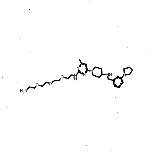 Cc1cc(N2CCC(NCc3cccc(N4CCCC4)c3)CC2)nc(NCCOCCOCCOCCN)n1